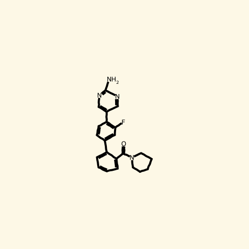 Nc1ncc(-c2ccc(-c3ccccc3C(=O)N3CCCCC3)cc2F)cn1